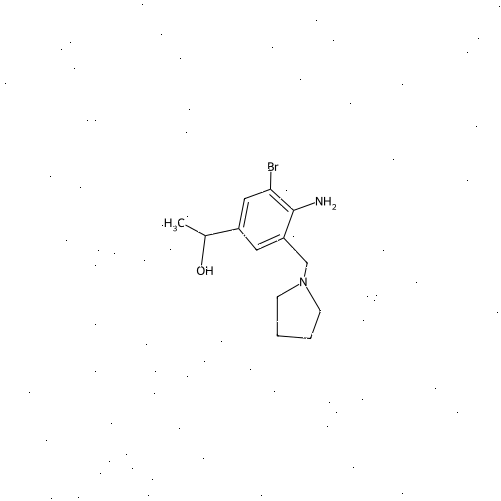 CC(O)c1cc(Br)c(N)c(CN2CCCC2)c1